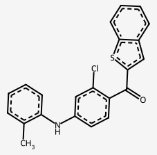 Cc1ccccc1Nc1ccc(C(=O)c2cc3ccccc3s2)c(Cl)c1